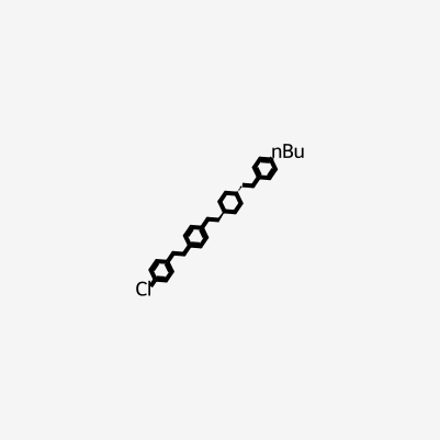 CCCCc1ccc(CC[C@H]2CC[C@H](CCc3ccc(CCc4ccc(Cl)cc4)cc3)CC2)cc1